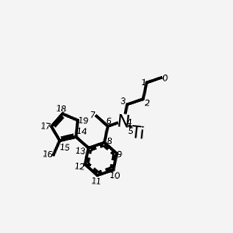 CCCC[N]([Ti])C(C)c1ccccc1C1=C(C)C=CC1